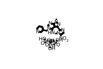 Cn1c([N+](=O)[O-])cnc1-c1nn(C)c2ncn(Cc3cccnc3)c(=N)c12.O=P(O)(O)OP(=O)(O)OP(=O)(O)O